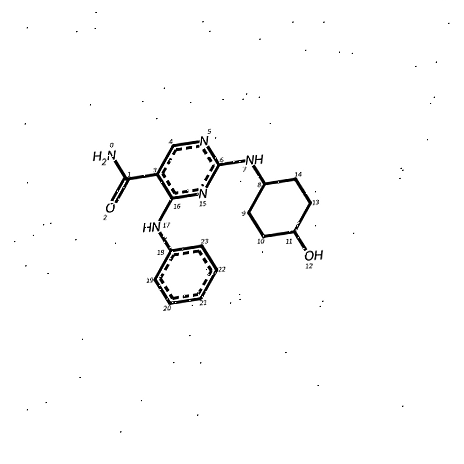 NC(=O)c1cnc(NC2CCC(O)CC2)nc1Nc1ccccc1